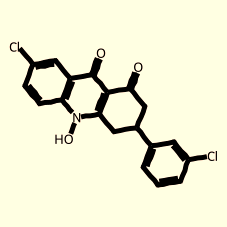 O=C1CC(c2cccc(Cl)c2)Cc2c1c(=O)c1cc(Cl)ccc1n2O